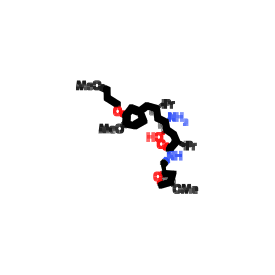 COCCCOc1cc(C[C@@H](C[C@H](N)[C@@H](O)C[C@H](C(=O)NC[C@H]2C[C@@H](OC)CO2)C(C)C)C(C)C)ccc1OC